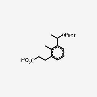 CCCCCC(C)c1cccc(CCC(=O)O)c1C